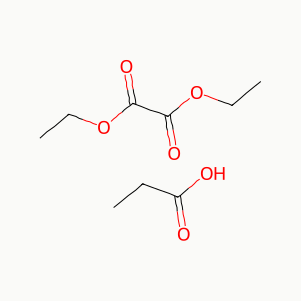 CCC(=O)O.CCOC(=O)C(=O)OCC